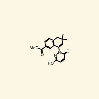 COC(=O)c1ccc2c(c1)C(n1nc(O)ccc1=O)=CC(C)(C)C2